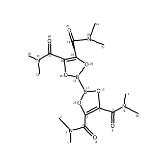 CN(C)C(=O)C1=C(C(=O)N(C)C)OB(B2OC(C(=O)N(C)C)=C(C(=O)N(C)C)O2)O1